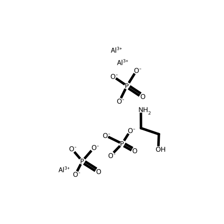 NCCO.O=P([O-])([O-])[O-].O=P([O-])([O-])[O-].O=P([O-])([O-])[O-].[Al+3].[Al+3].[Al+3]